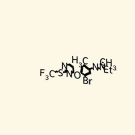 CCN(C)/C=N/c1cc(Br)c(Oc2ccnc(SCC(F)(F)F)n2)cc1C